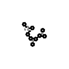 C=C=C(/N=C(\N=C(/C)c1cccc(-c2ccc3c(c2)c2cc(-c4ccc5c(c4)c4ccccc4n5-c4ccccc4)ccc2n3-c2ccccc2)c1)c1ccccc1)c1ccccc1